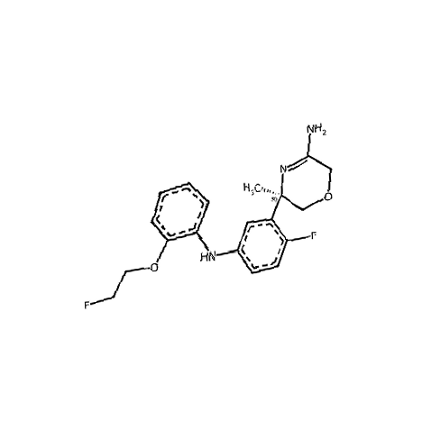 C[C@@]1(c2cc(Nc3ccccc3OCCF)ccc2F)COCC(N)=N1